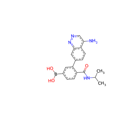 CC(C)NC(=O)c1ccc(B(O)O)cc1-c1ccc2c(N)cnnc2c1